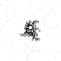 CCCC(=O)O[C@@]12C[C@@H](N)[C@]34C=C(C)[C@H](OC(=O)C(C)C(C)C)[C@@]3(O)[C@H](O)C(CO)=C[C@H](C4=O)[C@@H]1C2(C)C